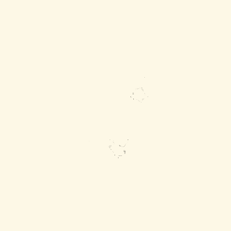 COCc1noc(C(C)(C)CCCc2noc(C(C)(C)C)n2)n1